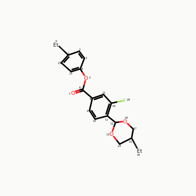 CCc1ccc(OC(=O)c2ccc(C3OCC(CC)CO3)c(F)c2)cc1